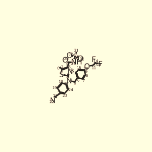 Cc1sc(N(Cc2ccc(OCC(F)F)cc2)c2ccc(C#N)cc2)nc1C(=O)NS(C)(=O)=O